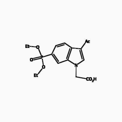 CCOP(=O)(OCC)c1ccc2c(C(C)=O)cn(CC(=O)O)c2c1